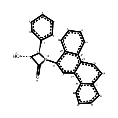 O=C1[C@H](O)[C@@H](c2ccccc2)N1c1cc2c3ccccc3ccc2c2ccccc12